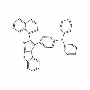 c1ccc(N(c2ccccc2)c2ccc(-c3c(-c4cccc5ccccc45)nc4oc5ccccc5n34)cc2)cc1